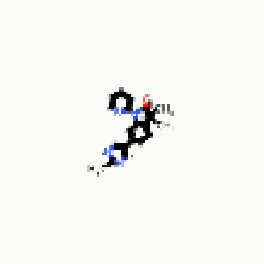 Cc1ncc(-c2ccc3c(c2)N(c2ccccn2)C(=O)C3(C)C)cn1